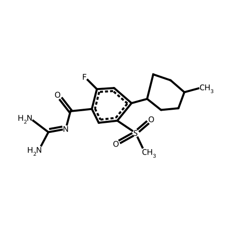 CC1CCC(c2cc(F)c(C(=O)N=C(N)N)cc2S(C)(=O)=O)CC1